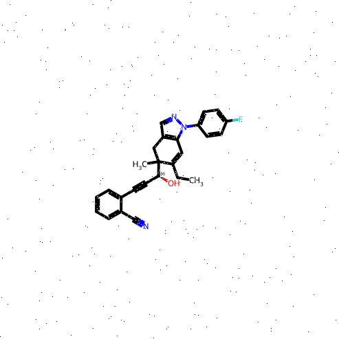 CCC1=Cc2c(cnn2-c2ccc(F)cc2)CC1(C)[C@@H](O)C#Cc1ccccc1C#N